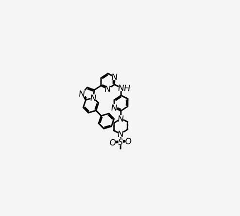 CS(=O)(=O)N1CCN(c2ccc(Nc3nccc(-c4cnc5ccc(-c6ccccc6)cn45)n3)cn2)CC1